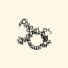 C=C[C@@H]1C[C@@]12NC(=O)[C@@H]1C[C@@H](OC(=O)N3Cc4cccc(F)c4C3)CN1C(=O)[C@@H](NCc1ccccn1)CCCCCCCNc1ccc(F)cc1S(=O)(=O)NC2=O